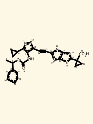 CC(OC(=O)Nc1c(C2CC2)nsc1C#Cc1nc2nc(C3(C(=O)O)CC3)sc2s1)c1ccccc1